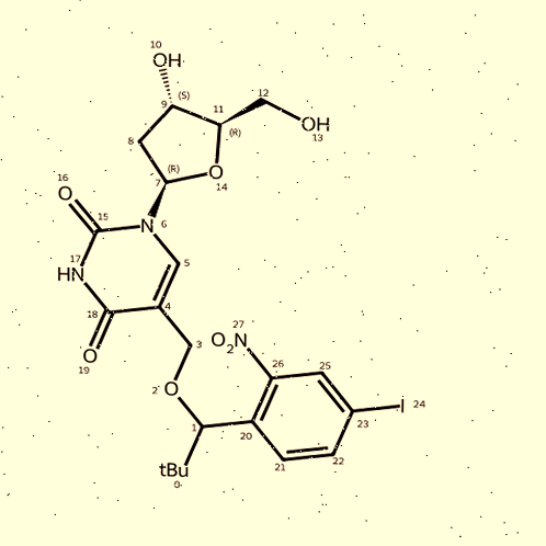 CC(C)(C)C(OCc1cn([C@H]2C[C@H](O)[C@@H](CO)O2)c(=O)[nH]c1=O)c1ccc(I)cc1[N+](=O)[O-]